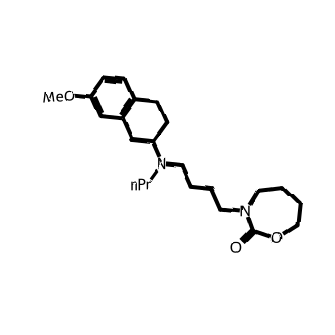 CCCN(CCCCN1CCCCOC1=O)C1CCc2ccc(OC)cc2C1